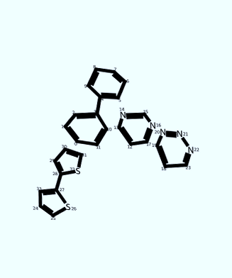 c1ccc(-c2ccccc2)cc1.c1cncnc1.c1cnnnc1.c1csc(-c2cccs2)c1